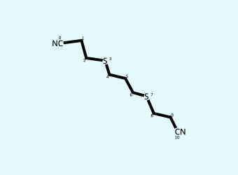 N#CCCSCCCSCCC#N